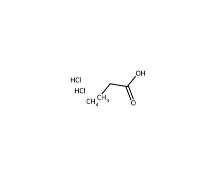 C.CCC(=O)O.Cl.Cl